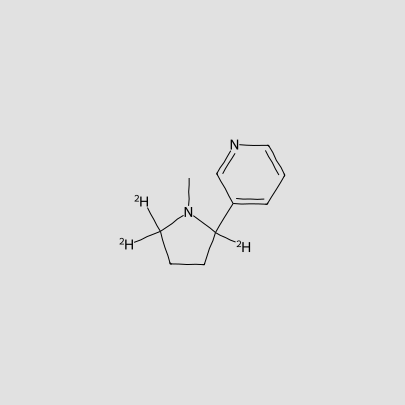 [2H]C1([2H])CCC([2H])(c2cccnc2)N1C